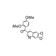 COc1ccc(C(=O)c2cnc3cc4c(cc3c2)OCO4)c(OC)c1